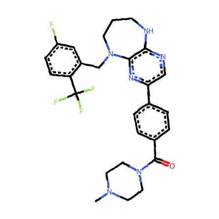 CN1CCN(C(=O)c2ccc(-c3cnc4c(n3)N(Cc3cc(F)ccc3C(F)(F)F)CCCN4)cc2)CC1